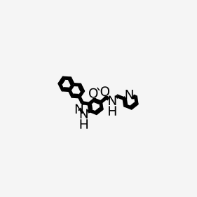 COc1c(C(=O)NCc2ccccn2)ccc2[nH]nc(-c3ccc4ccccc4c3)c12